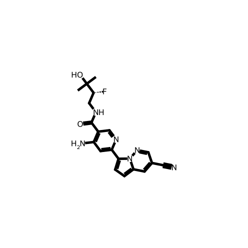 CC(C)(O)[C@H](F)CNC(=O)c1cnc(-c2ccc3cc(C#N)cnn23)cc1N